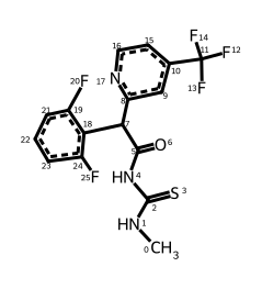 CNC(=S)NC(=O)C(c1cc(C(F)(F)F)ccn1)c1c(F)cccc1F